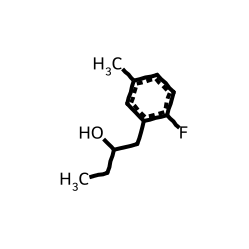 CCC(O)Cc1cc(C)ccc1F